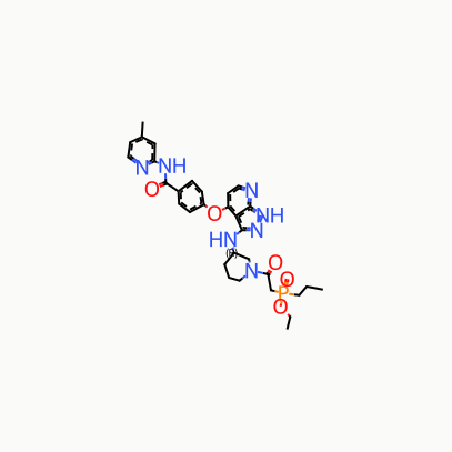 CCCP(=O)(CC(=O)N1CCC[C@@H](Nc2n[nH]c3nccc(Oc4ccc(C(=O)Nc5cc(C)ccn5)cc4)c23)C1)OCC